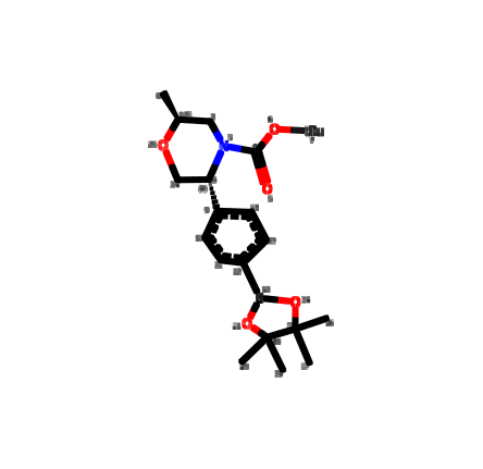 C[C@H]1CN(C(=O)OC(C)(C)C)[C@H](c2ccc(B3OC(C)(C)C(C)(C)O3)cc2)CO1